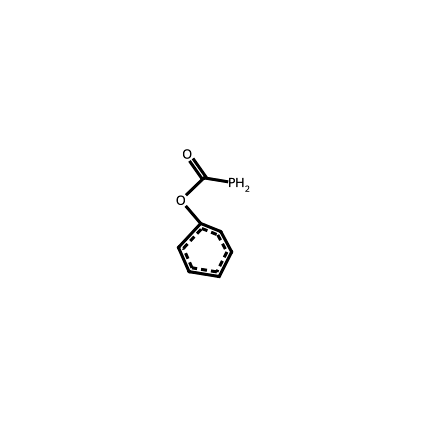 O=C(P)Oc1ccccc1